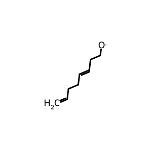 C=CCC/C=C/CC[O]